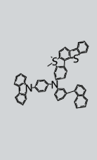 CS1(C)c2cc(N(c3ccc(-n4c5ccccc5c5ccccc54)cc3)c3cccc(-c4cccc5ccccc45)c3)ccc2-c2c1ccc1c2sc2ccccc21